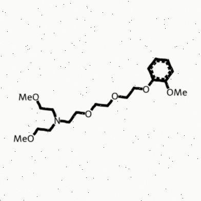 COCCN(CCOC)CCOCCOCCOc1ccccc1OC